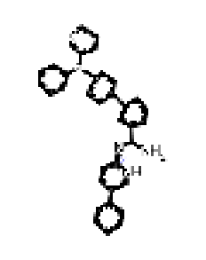 NC(/N=c1/ccc(-c2ccccc2)c[nH]1)c1cccc(-c2ccc(P(c3ccccc3)c3ccccc3)cc2)c1